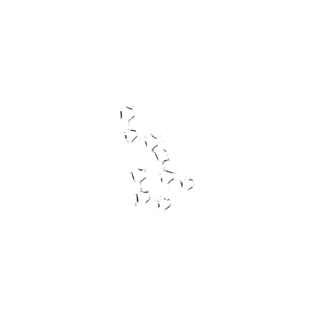 [Ir].c1ccc(-c2cccc(-c3ccccn3)c2)cc1.c1ccc(-c2cccc(-c3ccccn3)c2)cc1.c1ccc(-c2cccc(-c3ccccn3)c2)cc1